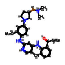 CNC(=O)c1ccccc1Nc1cc(Nc2ccc(N3CCC(SN(C)C)C3)cc2OC)ncc1C#N